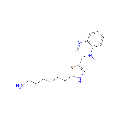 CN1c2ccccc2N=CC1C1=CNC(CCCCCCN)S1